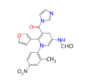 Cc1cc([N+](=O)[O-])ccc1N1C=C(NC=O)CC(C(=O)n2ccnc2)=C1c1ccoc1